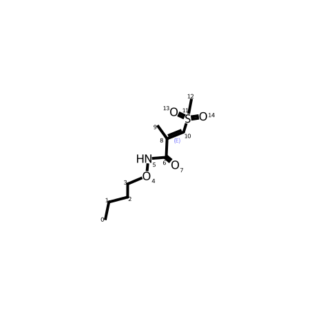 CCCCONC(=O)/C(C)=C/S(C)(=O)=O